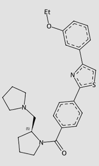 CCOc1cccc(-c2csc(-c3ccc(C(=O)N4CCC[C@H]4CN4CCCC4)cc3)n2)c1